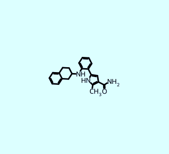 Cc1[nH]c(-c2ccccc2NC2CCc3ccccc3C2)cc1C(N)=O